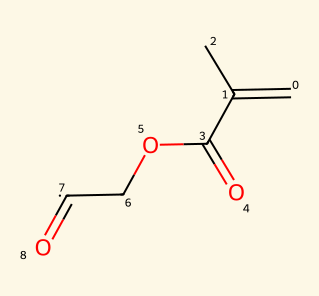 C=C(C)C(=O)OC[C]=O